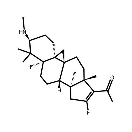 CN[C@H]1CC[C@]23C[C@]24CC[C@]2(C)C(C(C)=O)=C(F)C[C@@]2(C)[C@@H]4CC[C@H]3C1(C)C